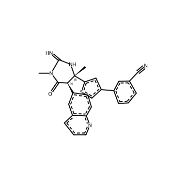 CN1C(=N)N[C@](C)(c2cc(-c3cccc(C#N)c3)cs2)[C@@H](c2ccc3ncccc3c2)C1=O